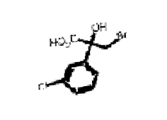 O=C(O)C(O)(CBr)c1cccc(Cl)c1